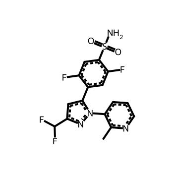 Cc1ncccc1-n1nc(C(F)F)cc1-c1cc(F)c(S(N)(=O)=O)cc1F